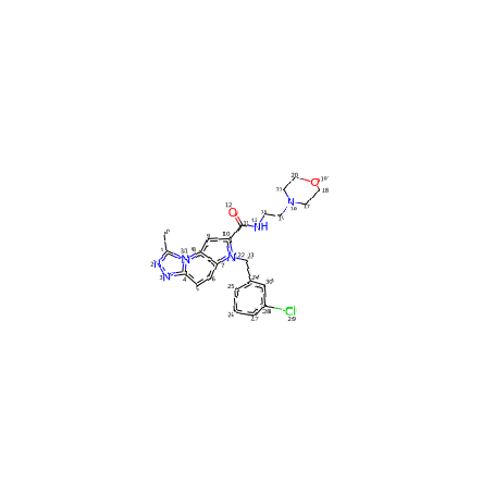 Cc1nnc2ccc3c(cc(C(=O)NCCN4CCOCC4)n3Cc3cccc(Cl)c3)n12